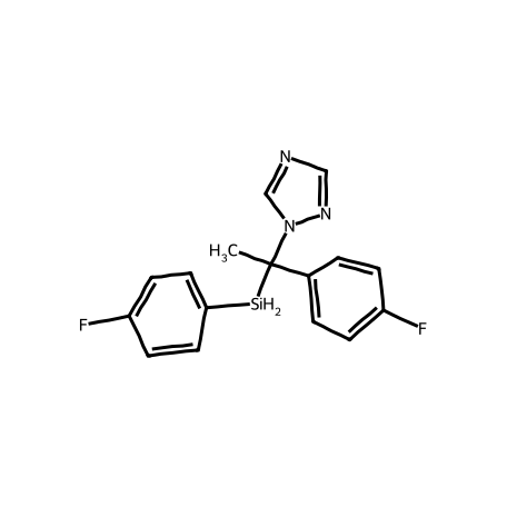 CC([SiH2]c1ccc(F)cc1)(c1ccc(F)cc1)n1cncn1